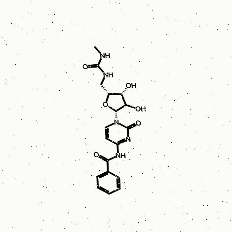 CNC(=O)NC[C@H]1O[C@@H](n2ccc(NC(=O)c3ccccc3)nc2=O)C(O)[C@H]1O